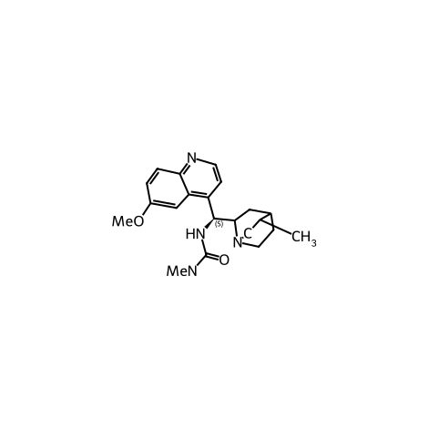 CNC(=O)N[C@@H](c1ccnc2ccc(OC)cc12)C1CC2CCN1CC2C